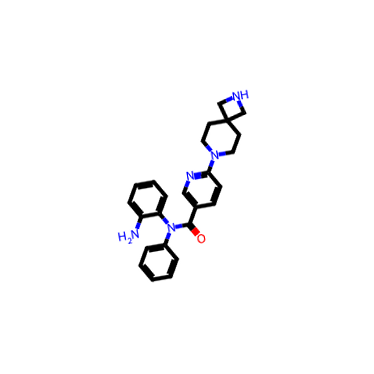 Nc1ccccc1N(C(=O)c1ccc(N2CCC3(CC2)CNC3)nc1)c1ccccc1